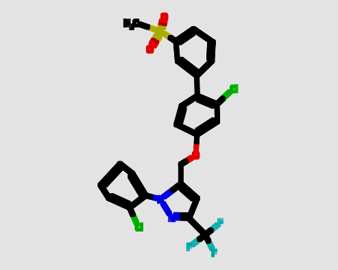 CS(=O)(=O)c1cccc(-c2ccc(OCc3cc(C(F)(F)F)nn3-c3ccccc3Cl)cc2Cl)c1